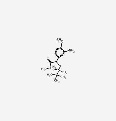 COC(=O)C(O[Si](C)(C)C(C)(C)C)c1ccc(OC)c(N)c1